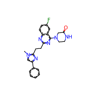 Cn1cc(-c2ccccc2)nc1CCc1nc(N2CCNC(=O)C2)c2cc(F)ccc2n1